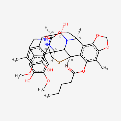 CCCCC(=O)Oc1c(C)c2c(c3c1[C@H]1SC[C@]4(NCCc5cc(O)c(OC)cc54)C(=O)OC[C@@H]3N3C1[C@@H]1N[C@@H](Cc4cc(C)c(OC)c(O)c41)[C@@H]3O)OCO2